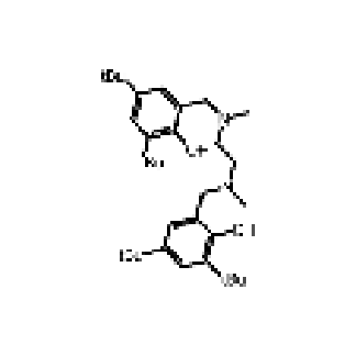 CN(CCN(C)Cc1cc(C(C)(C)C)cc(C(C)(C)C)c1O)Cc1cc(C(C)(C)C)cc(C(C)(C)C)c1O